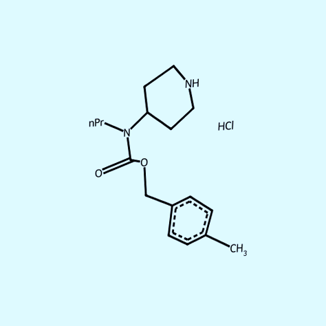 CCCN(C(=O)OCc1ccc(C)cc1)C1CCNCC1.Cl